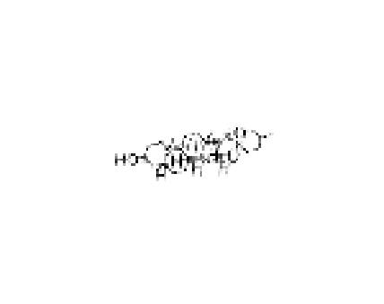 CC1CC[C@@]2(OC1)O[C@H]1C[C@H]3[C@@H]4CC[C@H]5C[C@@H](O)CC[C@]5(C)[C@H]4CC[C@]3(C)[C@H]1[C@@H]2C